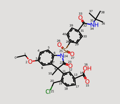 CCOc1ccc2c(c1)C(C)(c1cc(C(=O)O)ccc1CCl)C(=O)N2S(=O)(=O)c1ccc(C(=O)NC(C)(C)C)cc1